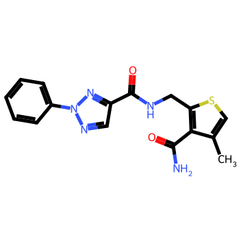 Cc1csc(CNC(=O)c2cnn(-c3ccccc3)n2)c1C(N)=O